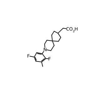 Cc1cc(F)cc(N2CCC3(CCC(CC(=O)O)CC3)CC2)c1F